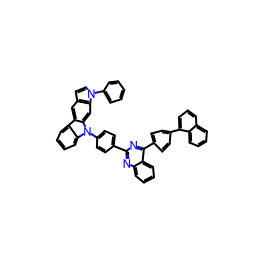 c1ccc(-n2ccc3cc4c5ccccc5n(-c5ccc(-c6nc(-c7ccc(-c8cccc9ccccc89)cc7)c7ccccc7n6)cc5)c4cc32)cc1